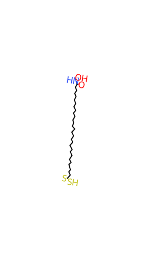 O=C(CCCCCCCCCCCCCCCCCCCCCCCCCCCCC(=S)S)NO